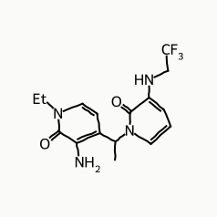 CCn1ccc(C(C)n2cccc(NCC(F)(F)F)c2=O)c(N)c1=O